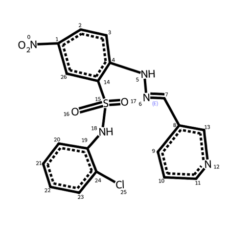 O=[N+]([O-])c1ccc(N/N=C/c2cccnc2)c(S(=O)(=O)Nc2ccccc2Cl)c1